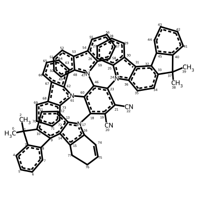 CC1(C)c2ccccc2-c2c1ccc1c2c2c(n1-c1c(C#N)c(C#N)c(-n3c4ccccc4c4c5c(ccc43)C(C)(C)c3ccccc3-5)c(-n3c4ccccc4c4ccccc43)c1-n1c3ccccc3c3ccccc31)C=CCC2